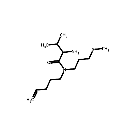 C=CCCCN(CCCSC)C(=O)C(N)C(C)C